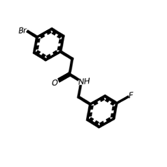 O=C(Cc1ccc(Br)cc1)NCc1cccc(F)c1